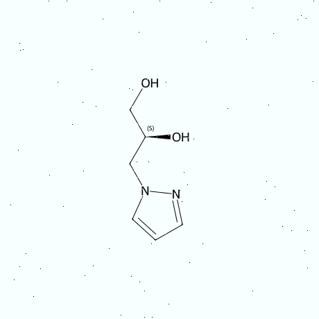 OC[C@@H](O)Cn1cccn1